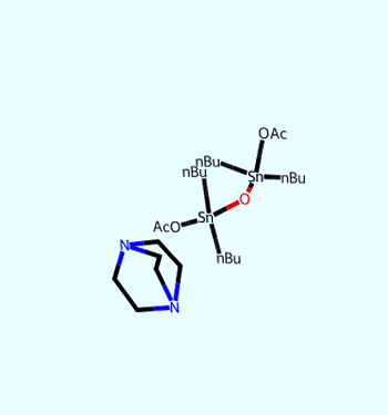 C1CN2CCN1CC2.CCC[CH2][Sn]([CH2]CCC)([O]C(C)=O)[O][Sn]([CH2]CCC)([CH2]CCC)[O]C(C)=O